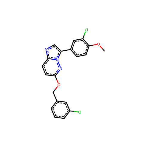 COc1ccc(-c2cnc3ccc(OCc4cccc(Cl)c4)nn23)cc1Cl